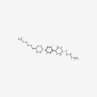 CCCCCC[C@H]1CC[C@H](c2ccc([C@@H]3CO[C@@H](CCCCC)CO3)cc2)CC1